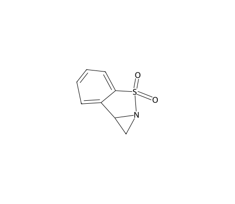 O=S1(=O)c2ccccc2C2CN21